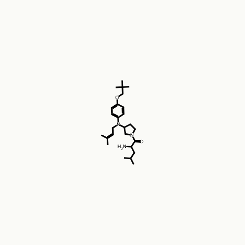 CC(C)=CCN(c1ccc(OCC(C)(C)C)cc1)C1CCN(C(=O)C(N)CC(C)C)C1